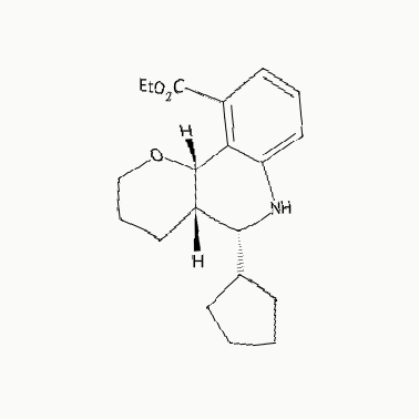 CCOC(=O)c1cccc2c1[C@H]1OCCC[C@H]1[C@@H](C1CCCC1)N2